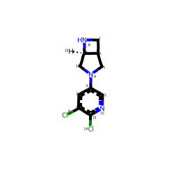 Clc1cc(N2CC3CN[C@@H]3C2)cnc1Cl